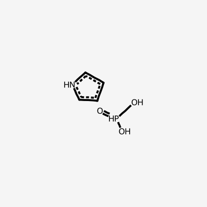 O=[PH](O)O.c1cc[nH]c1